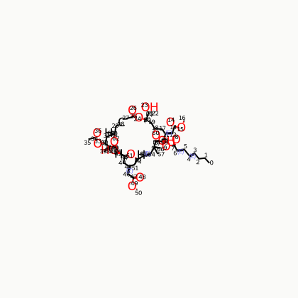 CCC/C=C/C=C/C(=O)O[C@H]1/C(=C/C(=O)OC)CC2C[C@H]([C@@H](C)O)OC(=O)CCC[C@@H]3C[C@H](OC(C)=O)C(C)(C)[C@](O)(C[C@@H]4C/C(=C/C(=O)OC)C[C@H](/C=C/C(C)(C)[C@]1(O)O2)O4)O3